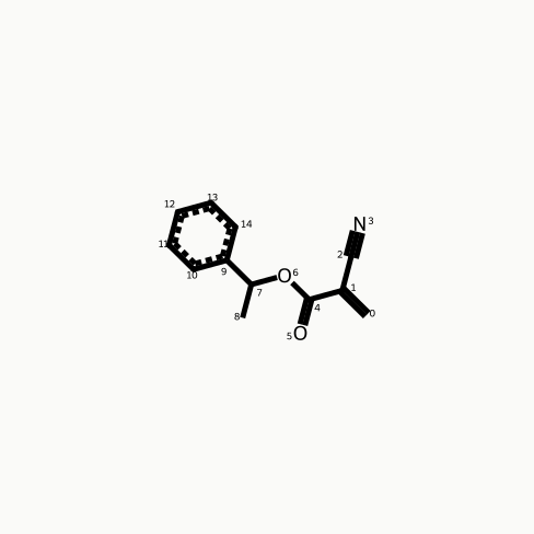 C=C(C#N)C(=O)OC(C)c1ccccc1